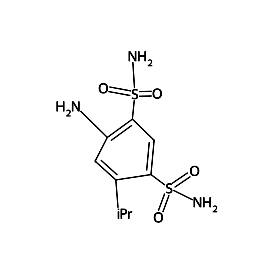 CC(C)c1cc(N)c(S(N)(=O)=O)cc1S(N)(=O)=O